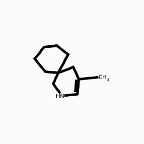 CC1=CNCC2(CCCCC2)C1